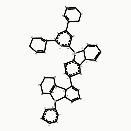 C1=CCCC(c2cc(C3=CCCC=C3)nc(N3c4ccc(C5=CC=CC6C5C5=C(CCCC5)N6c5ccccc5)cc4C4C=CC=CC43)c2)=C1